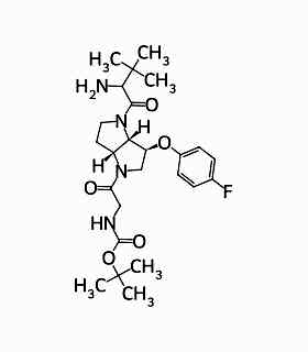 CC(C)(C)OC(=O)NCC(=O)N1C[C@H](Oc2ccc(F)cc2)[C@@H]2[C@H]1CCN2C(=O)C(N)C(C)(C)C